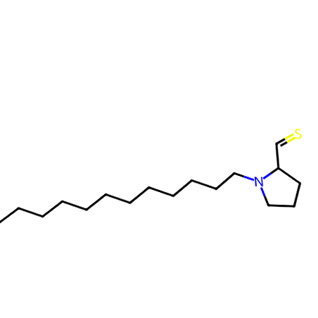 CCCCCCCCCCCCN1CCCC1C=S